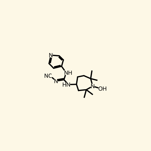 CC1(C)CCC(NC(=NC#N)Nc2ccncc2)CC(C)(C)N1O